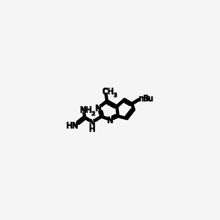 CCCCc1ccc2nc(NC(=N)N)nc(C)c2c1